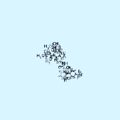 Cn1ncc2c(NC(=O)C(=O)N3CCC[C@@H]4Oc5cc(C(F)(F)F)cc(F)c5[C@@H]43)cnc(N(C(=O)OC(C)(C)C)C(=O)OC(C)(C)C)c21